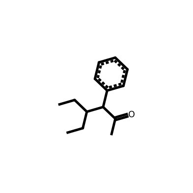 CCC(CC)C(C(C)=O)c1ccccc1